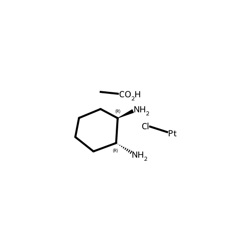 CC(=O)O.N[C@@H]1CCCC[C@H]1N.[Cl][Pt]